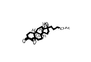 CC(=O)OCCCC1(O)CC[C@H]2[C@@H]3CCC45OC4C(=O)CC[C@]5(C)[C@@H]3CC[C@@]21C